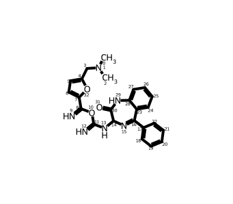 CN(C)Cc1ccc(C(=N)OC(=N)NC2N=C(c3ccccc3)c3ccccc3NC2=O)o1